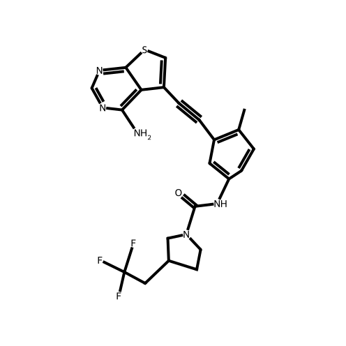 Cc1ccc(NC(=O)N2CCC(CC(F)(F)F)C2)cc1C#Cc1csc2ncnc(N)c12